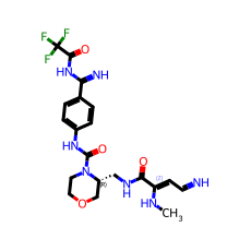 CN/C(=C\C=N)C(=O)NC[C@@H]1COCCN1C(=O)Nc1ccc(C(=N)NC(=O)C(F)(F)F)cc1